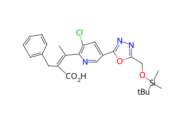 CC(=C(Cc1ccccc1)C(=O)O)c1ncc(-c2nnc(CO[Si](C)(C)C(C)(C)C)o2)cc1Cl